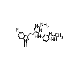 Cc1nc2cc(Nc3nc(N)ncc3CCc3c[nH]c4ccc(F)cc34)ccc2[nH]1